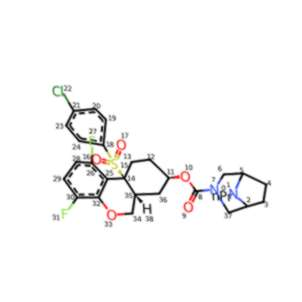 CCCN1C2CCC1CN(C(=O)O[C@@H]1CC[C@@]3(S(=O)(=O)c4ccc(Cl)cc4)c4c(F)ccc(F)c4OC[C@H]3C1)C2